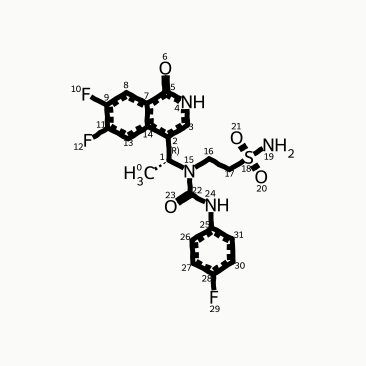 C[C@H](c1c[nH]c(=O)c2cc(F)c(F)cc12)N(CCS(N)(=O)=O)C(=O)Nc1ccc(F)cc1